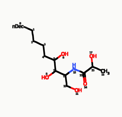 CCCCCCCCCCCCCCC(O)C(O)C(CO)NC(=O)C(C)O